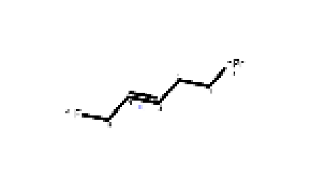 [CH2]CCCC/C=C/CF